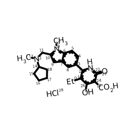 CCc1c(-c2ccc3c(c2)cc(CN(C)C2CCCC2)n3C)[nH]c(=O)c(C(=O)O)c1O.Cl